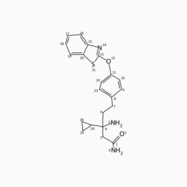 NC(=O)CC(N)(CCc1ccc(Oc2nc3ccccc3s2)cc1)C1CC1